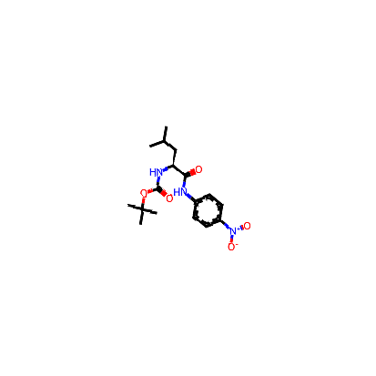 CC(C)C[C@H](NC(=O)OC(C)(C)C)C(=O)Nc1ccc([N+](=O)[O-])cc1